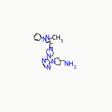 Cc1nn(-c2ccccc2)cc1CN1CCN(c2nccnc2N2CCC(CN)CC2)CC1